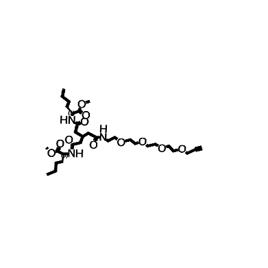 C#CCOCCOCCOCCOCCNC(=O)CC(CC(=O)N[C@@H](CCCC)C(=O)OC)CC(=O)N[C@@H](CCCC)C(=O)OC